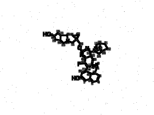 C#Cc1cccc2cc(O)cc(-c3c(F)cc4c(N5CC6CCC(C5)N6)nc(OCC5(CN6CC7CC(O)CC7C6)CC5)nc4c3F)c12